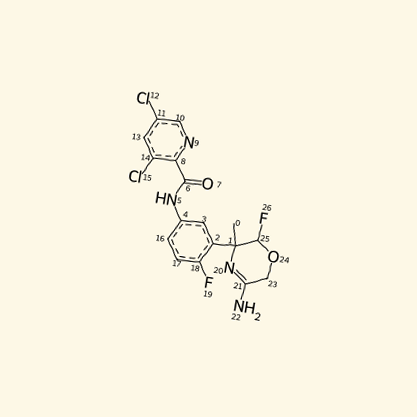 CC1(c2cc(NC(=O)c3ncc(Cl)cc3Cl)ccc2F)N=C(N)COC1F